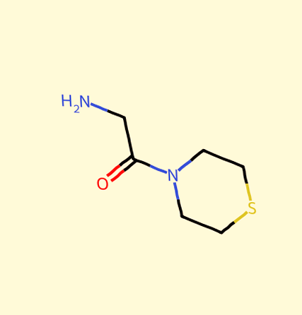 NCC(=O)N1CCSCC1